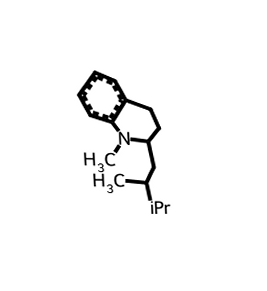 CC(C)C(C)CC1CCc2ccccc2N1C